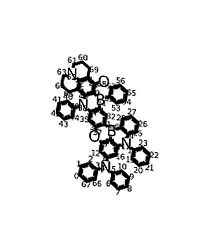 c1ccc(N(c2ccccc2)c2cc3c4c(c2)N(c2ccccc2)c2ccccc2B4c2cc4c(cc2O3)N(c2ccccc2)c2c3c5c(c6c2B4c2ccccc2O6)CCCN5CCC3)cc1